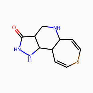 O=C1NNC2C1CNC1C=CSC=CC12